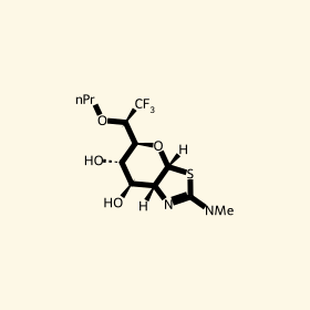 CCCO[C@H]([C@H]1O[C@@H]2SC(NC)=N[C@@H]2[C@@H](O)[C@@H]1O)C(F)(F)F